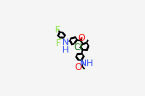 CC(=O)Nc1cccc(-c2ccc(C)c(C(=O)c3ccc(Nc4ccc(F)cc4F)cc3Cl)c2)c1